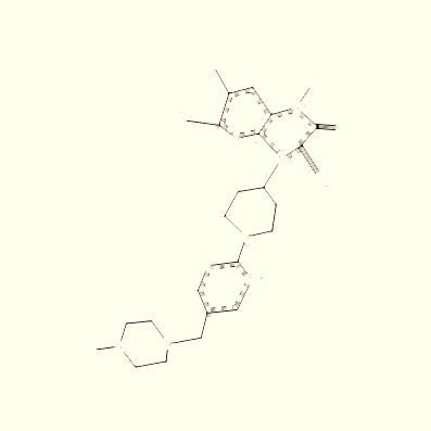 CN1CCN(Cc2cnc(N3CCC(n4c(=O)c(=O)n(C)c5cc(Cl)c(Cl)nc54)CC3)nc2)CC1